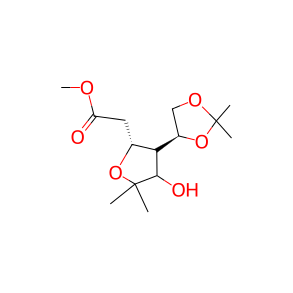 COC(=O)C[C@H]1OC(C)(C)C(O)C1[C@H]1COC(C)(C)O1